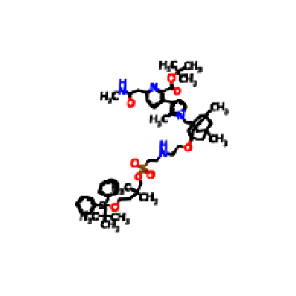 CNC(=O)Cc1ccc(-c2ccn(CC34CC5(C)CC(C)(C3)CC(OCCNCCS(=O)(=O)OCC(C)(C)CCO[Si](c3ccccc3)(c3ccccc3)C(C)(C)C)(C5)C4)c2C)c(C(=O)OC(C)(C)C)n1